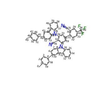 Cc1ccc(-c2ccc3c(c2)c2ccccc2n3-c2cc(-c3ccc(C(F)(F)F)cc3C#N)cc(-n3c4ccccc4c4cc(-c5ccc(C)cc5)ccc43)c2C#N)cc1